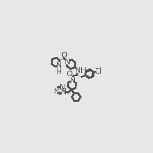 O=C([C@H]1CCCCN1)N1CCC(N[C@H](Cc2ccc(Cl)cc2)C(=O)N2CCC(Cn3cncn3)(C3CCCCC3)CC2)CC1